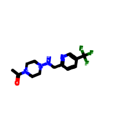 CC(=O)N1CCN(NCc2ccc(C(F)(F)F)cn2)CC1